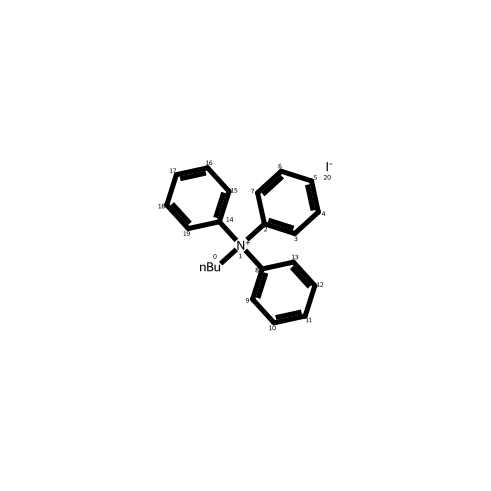 CCCC[N+](c1ccccc1)(c1ccccc1)c1ccccc1.[I-]